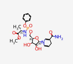 COC(=O)[C@H](C)NP(=O)(OC[C@H]1O[C@@H](N2C=CCC(C(N)=O)=C2)[C@@H](O)C1O)Oc1ccccc1